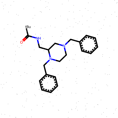 CC(C)(C)C(=O)NCC1CN(Cc2ccccc2)CCN1Cc1ccccc1